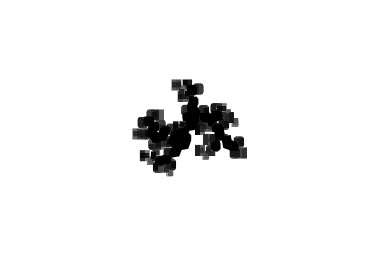 CCN[C@@H](CCC(=O)O)C(=O)N[C@H](C(=O)NC(C=O)(CCCNC(N)=O)CNc1ccc(COC(=O)C(C)C)cc1O[C@@H]1O[C@H](C(=O)O)[C@@H](O)[C@H](O)[C@H]1O)C(C)C